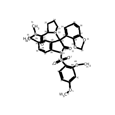 COc1ccc(S(=O)(=O)N2C(=O)C(c3cccc4c3OCO4)(N3CCCC3C(=O)N(C)C)c3cc(Cl)ccc32)c(OC)c1